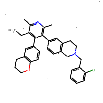 Cc1nc(C)c(-c2ccc3c(c2)CCN(Cc2ccccc2Cl)C3)c(-c2ccc3c(c2)CCCO3)c1CC(=O)O